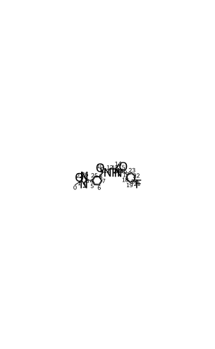 Cc1nc(-c2cccc(C(=O)NCc3coc(-c4ccc(F)cc4)n3)c2)no1